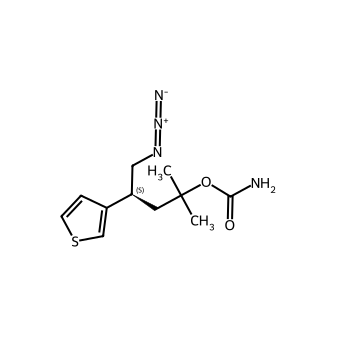 CC(C)(C[C@H](CN=[N+]=[N-])c1ccsc1)OC(N)=O